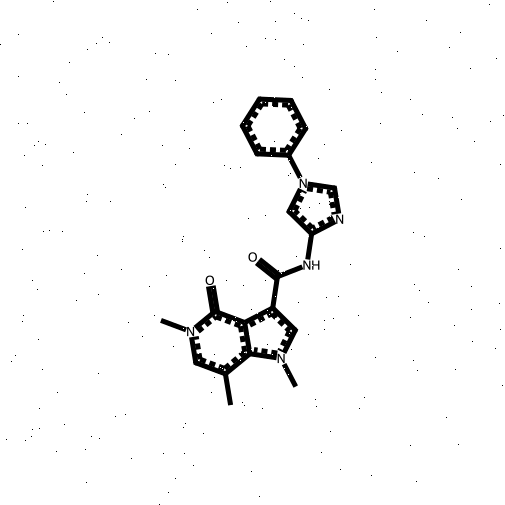 Cc1cn(C)c(=O)c2c(C(=O)Nc3cn(-c4ccccc4)cn3)cn(C)c12